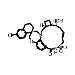 O=C1NS(=O)(=O)C/C=C/C[C@@H](O)[C@@H]2CC[C@H]2CN2C[C@@]3(CCCc4cc(Cl)ccc43)COc3ccc1cc32